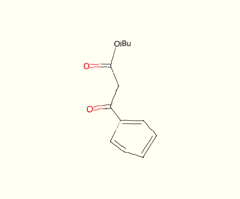 CC(C)COC(=O)CC(=O)c1ccccc1